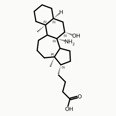 C[C@]12CCCC3[C@](N)(C1CC[C@@H]2CCCC(=O)O)[C@@H](O)C[C@@H]1CCCC[C@]31C